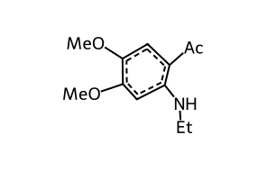 CCNc1cc(OC)c(OC)cc1C(C)=O